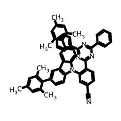 Cc1cc(C)c(-c2ccc3c(c2)c2cc(-c4c(C)cc(C)cc4C)ccc2n3-c2cc(C#N)ccc2-c2nc(-c3ccccc3)nc(-c3ccccc3)n2)c(C)c1